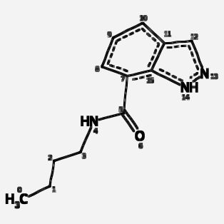 CCCCNC(=O)c1cccc2cn[nH]c12